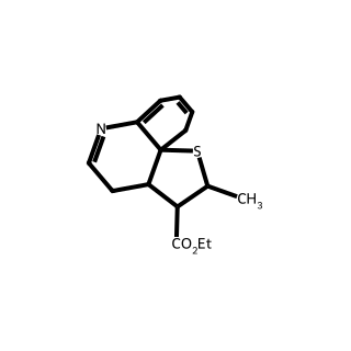 CCOC(=O)C1C(C)SC23CC=CC=C2N=CCC13